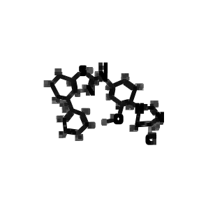 COc1cc(Nc2nc3c(s2)CCCC3c2ccccc2)ccc1-n1cnc(Cl)c1